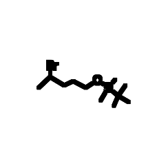 CC(Br)CCCO[Si](C)(C)C(C)(C)C